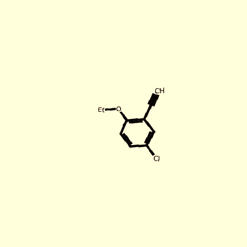 C#Cc1cc(Cl)ccc1OCC